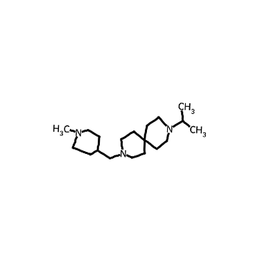 CC(C)N1CCC2(CCN(CC3CCN(C)CC3)CC2)CC1